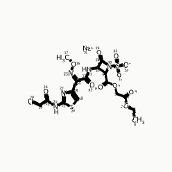 CCOC(=O)COC(=O)C1C(NC(=O)C(=NOC)c2csc(NC(=O)CCl)n2)C(=O)N1S(=O)(=O)[O-].[Na+]